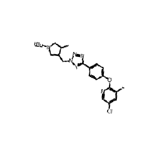 CC1CN(C(C)(C)C)CC1Cn1nnc(-c2ccc(Oc3ncc(Cl)cc3F)cc2)n1